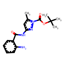 Cc1cc(NC(=O)c2ccccc2N)nn1C(=O)OC(C)(C)C